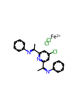 CC(=Nc1ccccc1)c1cc(Cl)cc(C(C)=Nc2ccccc2)n1.[Cl-].[Cl-].[Fe+2]